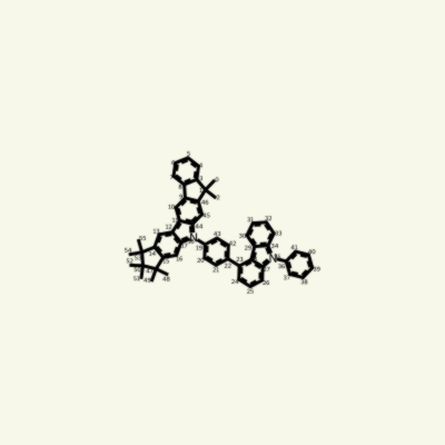 CC1(C)c2ccccc2-c2cc3c4cc5c(cc4n(-c4ccc(-c6cccc7c6c6ccccc6n7-c6ccccc6)cc4)c3cc21)C(C)(C)C(C)(C)C5(C)C